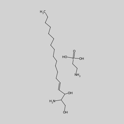 CCCCCCCCCCCCC/C=C/C(O)C(N)CO.NCCP(=O)(O)O